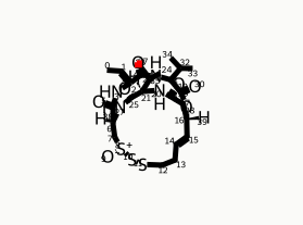 C/C=C1\NC(=O)[C@H]2C[S+]([O-])SSCC/C=C/[C@H](CC(=O)N[C@H](C(C)C)C(=O)N2)OC(=O)C(C(C)C)NC1=O